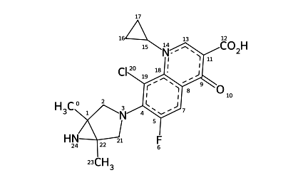 CC12CN(c3c(F)cc4c(=O)c(C(=O)O)cn(C5CC5)c4c3Cl)CC1(C)N2